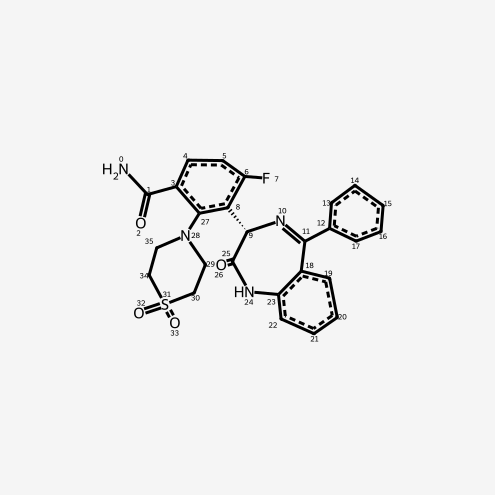 NC(=O)c1ccc(F)c([C@@H]2N=C(c3ccccc3)c3ccccc3NC2=O)c1N1CCS(=O)(=O)CC1